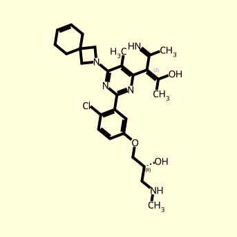 CNC[C@@H](O)COc1ccc(Cl)c(-c2nc(/C(C(C)=N)=C(\C)O)c(C)c(N3CC4(CC=CCC4)C3)n2)c1